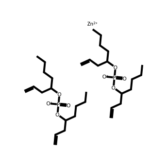 C=CCC(CCCC)OP(=O)([O-])OC(CC=C)CCCC.C=CCC(CCCC)OP(=O)([O-])OC(CC=C)CCCC.[Zn+2]